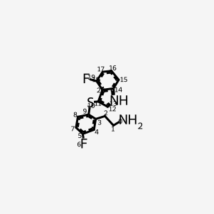 NCCc1cc(F)ccc1Sc1c[nH]c2cccc(F)c12